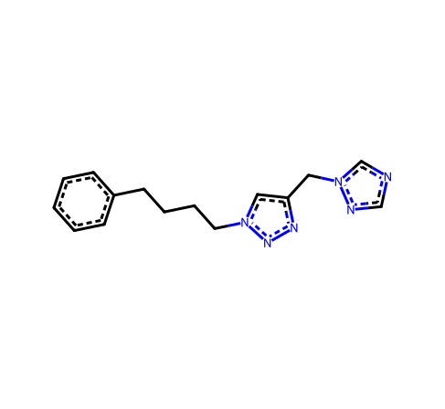 c1ccc(CCCCn2cc(Cn3cncn3)nn2)cc1